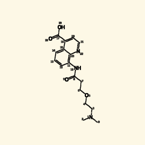 CN(C)CCOCCC(=O)Nc1cccc2c(C(=O)O)ccnc12